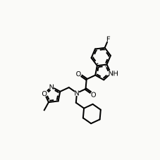 Cc1cc(CN(CC2CCCCC2)C(=O)C(=O)c2c[nH]c3cc(F)ccc23)no1